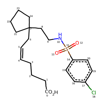 O=C(O)CCC/C=C\CC1(CCNS(=O)(=O)c2ccc(Cl)cc2)CCCC1